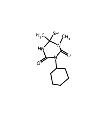 CN1C(=O)N(C2CCCCC2)C(=O)NC1(C)S